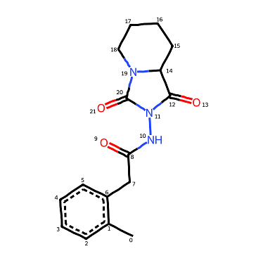 Cc1ccccc1CC(=O)NN1C(=O)C2CCCCN2C1=O